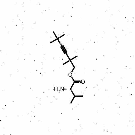 CC(C)[C@H](N)C(=O)OCC(C)(C)C#CC(C)(C)C